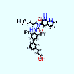 C=CCCCN(C(=O)Nc1c(C(C)C)cc(-c2cccc(CCCO)c2)cc1C(C)C)c1cc2cccnc2[nH]c1=O